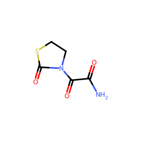 NC(=O)C(=O)N1CCSC1=O